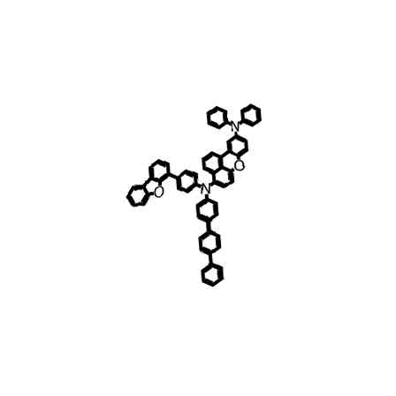 c1ccc(-c2ccc(-c3ccc(N(c4ccc(-c5cccc6c5oc5ccccc56)cc4)c4ccc5c6c(cccc46)-c4cc(N(c6ccccc6)c6ccccc6)ccc4O5)cc3)cc2)cc1